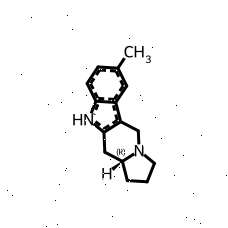 Cc1ccc2[nH]c3c(c2c1)CN1CCC[C@@H]1C3